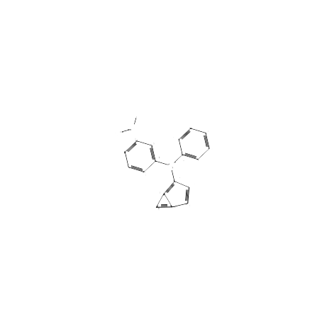 OBO.c1ccc(N(c2ccccc2)c2ccc3cc2-3)cc1